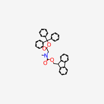 CN(CC(=O)OC(c1ccccc1)(c1ccccc1)c1ccccc1)C(=O)OCC1c2ccccc2-c2ccccc21